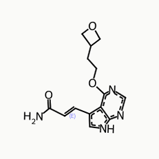 NC(=O)/C=C/c1c[nH]c2ncnc(OCCC3COC3)c12